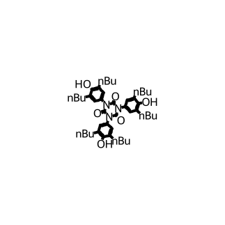 CCCCc1cc(-n2c(=O)n(-c3cc(CCCC)c(O)c(CCCC)c3)c(=O)n(-c3cc(CCCC)c(O)c(CCCC)c3)c2=O)cc(CCCC)c1O